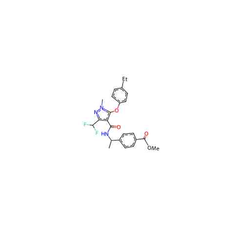 CCc1ccc(Oc2c(C(=O)NC(C)c3ccc(C(=O)OC)cc3)c(C(F)F)nn2C)cc1